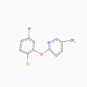 FC(F)(F)c1ccc(Oc2cc(Br)ccc2Cl)nc1